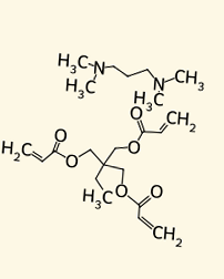 C=CC(=O)OCC(CC)(COC(=O)C=C)COC(=O)C=C.CN(C)CCCN(C)C